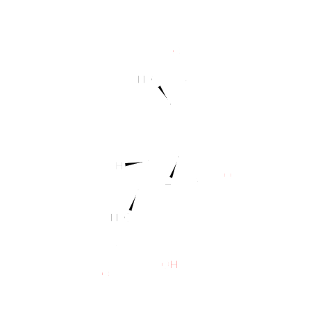 C[C@]12CCC(O)C(O)C1=CC(=O)[C@@H]1[C@H]2CC[C@]2(C)C(=O)CC[C@@H]12